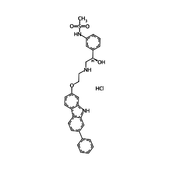 CS(=O)(=O)Nc1cccc([C@@H](O)CNCCOc2ccc3c(c2)[nH]c2cc(-c4ccccc4)ccc23)c1.Cl